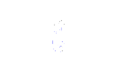 O=C(Nc1ccccc1C(F)(F)F)N1CCC(N2CCCC(Nc3nccc(N4CCCCCC4)n3)C2)CC1